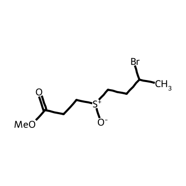 COC(=O)CC[S+]([O-])CCC(C)Br